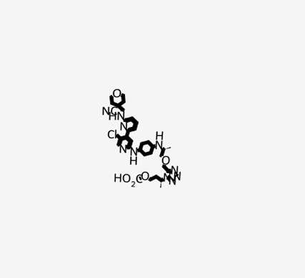 C[C@H](COCc1nnnn1[C@H](C)CCOC(=O)O)NC1CCC(Nc2cc(-c3cccc(NCC4(C#N)CCOCC4)n3)c(Cl)cn2)CC1